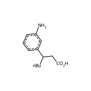 CCCCC(CC(=O)O)c1cccc(N)c1